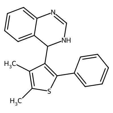 Cc1sc(-c2ccccc2)c(C2NC=Nc3ccccc32)c1C